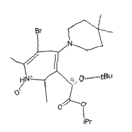 CC1=C(Br)C(N2CCC(C)(C)CC2)=C([C@H](OC(C)(C)C)C(=O)OC(C)C)C(C)[NH+]1[O-]